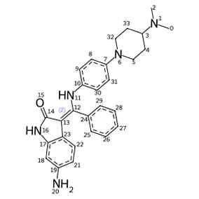 CN(C)C1CCN(c2ccc(N/C(=C3\C(=O)Nc4cc(N)ccc43)c3ccccc3)cc2)CC1